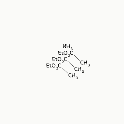 CCOC(C)=O.CCOC(C)=O.CCOC(C)=O.N